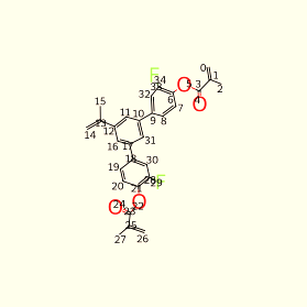 C=C(C)C(=O)Oc1ccc(-c2cc(C(=C)C)cc(-c3ccc(OC(=O)C(=C)C)c(F)c3)c2)cc1F